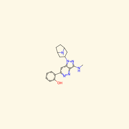 CNc1nn(C2CC3CCC(C2)N3C)c2cc(-c3ccccc3O)nnc12